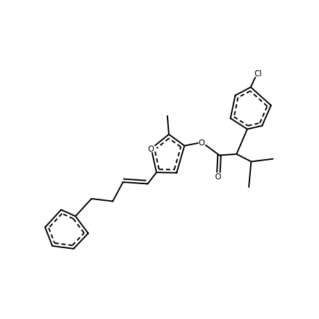 Cc1oc(C=CCCc2ccccc2)cc1OC(=O)C(c1ccc(Cl)cc1)C(C)C